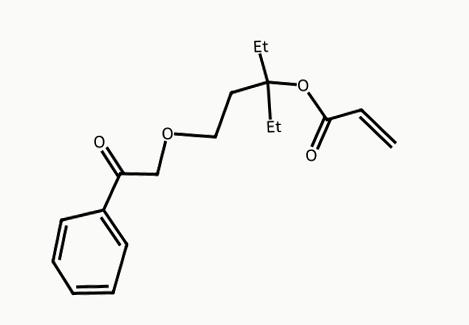 C=CC(=O)OC(CC)(CC)CCOCC(=O)c1ccccc1